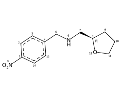 O=[N+]([O-])c1ccc(CNC[C@H]2CCCO2)cc1